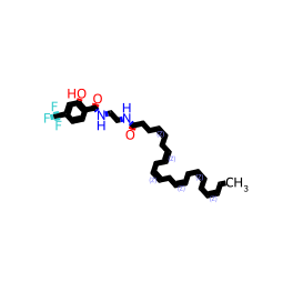 CC/C=C\C/C=C\C/C=C\C/C=C\C/C=C\C/C=C\CCC(=O)NCCNC(=O)c1ccc(C(F)(F)F)cc1O